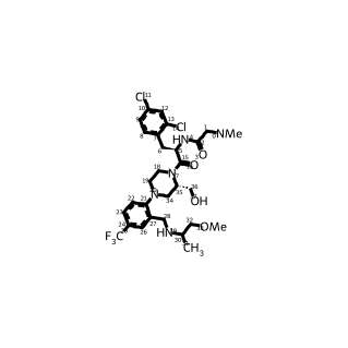 CNCC(=O)N[C@H](Cc1ccc(Cl)cc1Cl)C(=O)N1CCN(c2ccc(C(F)(F)F)cc2CNC(C)COC)C[C@H]1CO